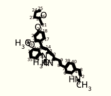 CN/C=C\c1ccc(/C=C/C(=N)/C=C(/C=C/c2ccc(OCC3CCCO3)cc2OC)N(C)c2ccccc2)cc1